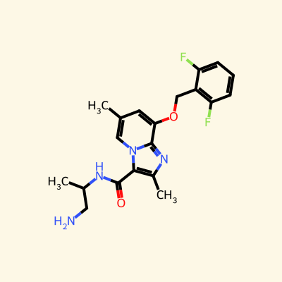 Cc1cc(OCc2c(F)cccc2F)c2nc(C)c(C(=O)NC(C)CN)n2c1